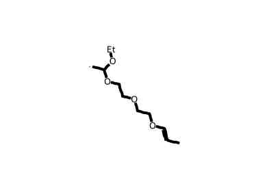 [CH2]C(OCC)OCCOCCO/C=C/C